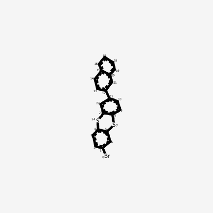 Brc1ccc2c(c1)Sc1ccc(-c3ccc4ccccc4c3)cc1S2